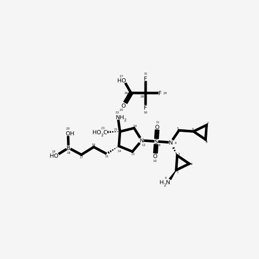 N[C@@H]1C[C@H]1N(CC1CC1)S(=O)(=O)N1C[C@H](CCCB(O)O)[C@](N)(C(=O)O)C1.O=C(O)C(F)(F)F